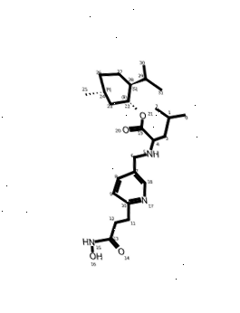 CC(C)CC(NCc1ccc(CCC(=O)NO)nc1)C(=O)O[C@@H]1C[C@H](C)CC[C@H]1C(C)C